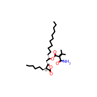 CCCCCCCCCCC[C@@H](C[C@@H]1OC(=O)[C@H]1CCCCCC)OC(=O)C(C(N)=O)=C(C)C